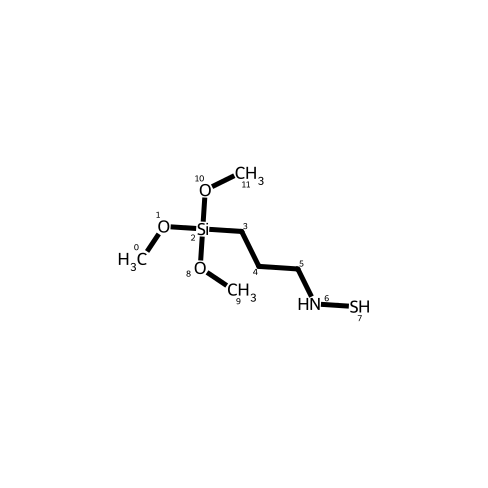 CO[Si](CCCNS)(OC)OC